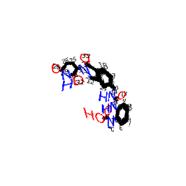 CN(C(=O)O)c1ccccc1NC(=O)NCc1ccc2c(c1)CN(C1CCC(=O)NC1=O)C2=O